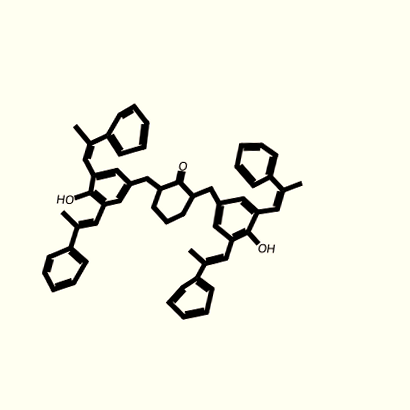 CC(=Cc1cc(CC2CCCC(Cc3cc(C=C(C)c4ccccc4)c(O)c(C=C(C)c4ccccc4)c3)C2=O)cc(C=C(C)c2ccccc2)c1O)c1ccccc1